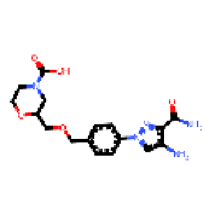 NC(=O)c1nn(-c2ccc(COCC3CN(C(=O)O)CCO3)cc2)cc1N